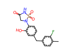 Cc1ccc(Cc2ccc(N3CC(=O)NS3(=O)=O)c(O)c2)cc1F